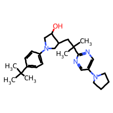 CC(C)(C)c1ccc(N2CC(O)C(CC(C)(C)c3ncc(N4CCCC4)cn3)C2)cc1